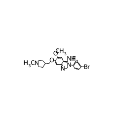 COc1cc2c(cc1OCC1CCN(C)CC1)=NCN(c1ccc(Br)cc1F)C=2N